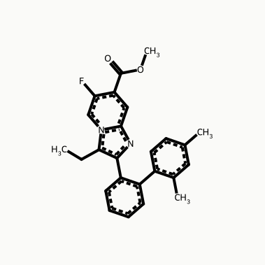 CCc1c(-c2ccccc2-c2ccc(C)cc2C)nc2cc(C(=O)OC)c(F)cn12